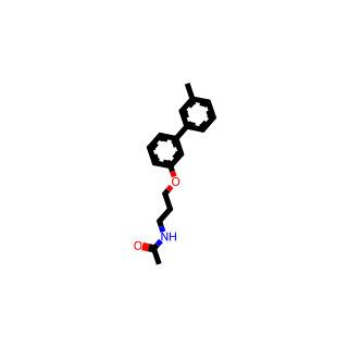 CC(=O)NCCCOc1cccc(-c2cccc(C)c2)c1